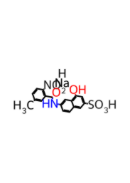 Cc1ccc([N+](=O)[O-])c(C(=O)Nc2ccc3cc(S(=O)(=O)O)cc(O)c3c2)c1.[NaH]